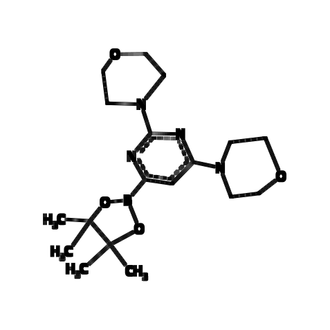 CC1(C)OB(c2cc(N3CCOCC3)nc(N3CCOCC3)n2)OC1(C)C